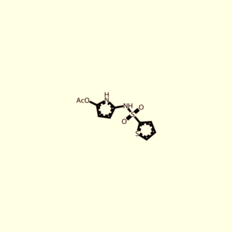 CC(=O)Oc1ccc(NS(=O)(=O)c2cccs2)[nH]1